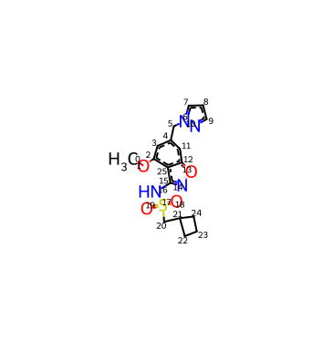 COc1cc(Cn2cccn2)cc2onc(NS(=O)(=O)CC3CCC3)c12